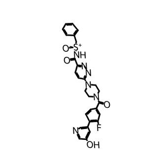 O=C(N[S+]([O-])Cc1ccccc1)c1ccc(N2CCN(C(=O)c3ccc(-c4cncc(O)c4)c(F)c3)CC2)nn1